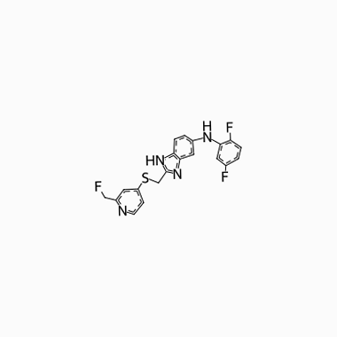 FCc1cc(SCc2nc3cc(Nc4cc(F)ccc4F)ccc3[nH]2)ccn1